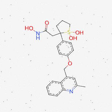 Cc1cc(COc2ccc(C3(CC(=O)NO)CCCS3(O)O)cc2)c2ccccc2n1